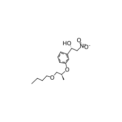 CCCCOC[C@H](C)Oc1cccc([C@H](O)C[N+](=O)[O-])c1